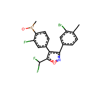 Cc1ccc(-c2noc(C(F)F)c2-c2ccc([S+](C)[O-])c(F)c2)cc1Br